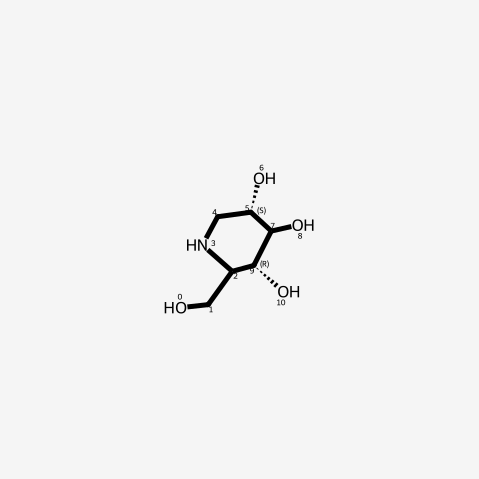 OCC1NC[C@H](O)C(O)[C@@H]1O